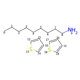 CCCCCCCCCN.c1ccsc1.c1ccsc1